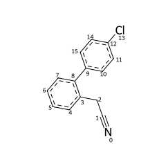 N#CCc1ccccc1-c1ccc(Cl)cc1